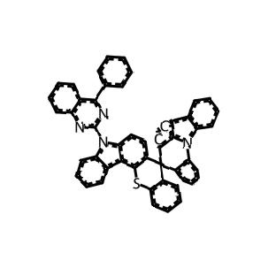 c1ccc(-c2nc(-n3c4ccccc4c4c5c(ccc43)C3(c4ccccc4S5)c4ccccc4-n4c5ccccc5c5cccc3c54)nc3ccccc23)cc1